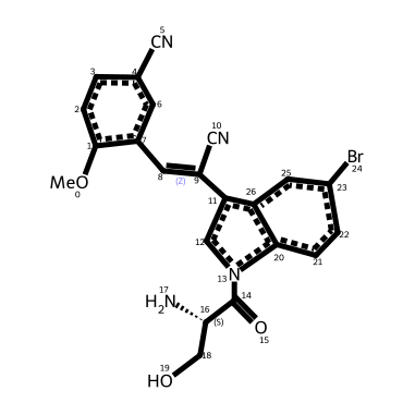 COc1ccc(C#N)cc1/C=C(\C#N)c1cn(C(=O)[C@@H](N)CO)c2ccc(Br)cc12